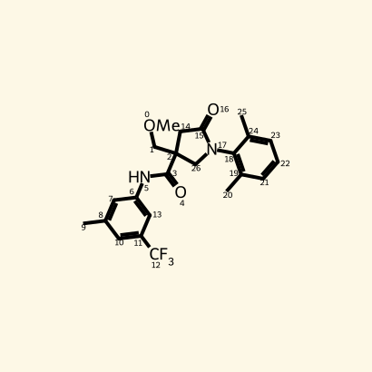 COCC1(C(=O)Nc2cc(C)cc(C(F)(F)F)c2)CC(=O)N(c2c(C)cccc2C)C1